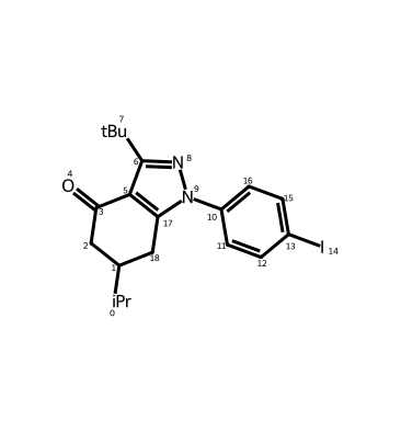 CC(C)C1CC(=O)c2c(C(C)(C)C)nn(-c3ccc(I)cc3)c2C1